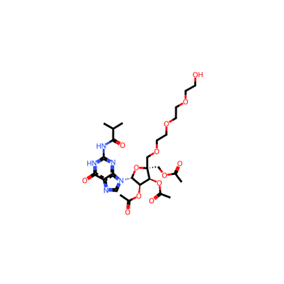 CC(=O)OC[C@@]1(COCCOCCOCCO)O[C@@H](n2cnc3c(=O)[nH]c(NC(=O)C(C)C)nc32)[C@H](OC(C)=O)[C@@H]1OC(C)=O